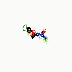 C[C@]1(c2ccc(Cl)cc2F)Oc2cccc(C3CCN(Cc4ncc(-c5nnc(C(F)(F)F)[nH]5)cc4N4CC5CC4CO5)CC3)c2O1